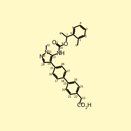 Cc1ccccc1C(C)OC(=O)Nc1c(-c2ccc(-c3ccc(CC(=O)O)cc3)cc2)cnn1C